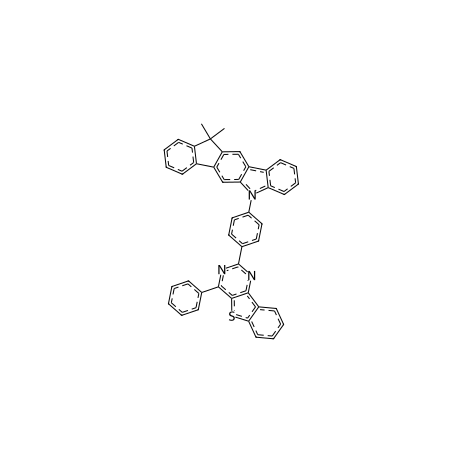 CC1(C)c2ccccc2-c2cc3c(cc21)c1ccccc1n3-c1ccc(-c2nc(-c3ccccc3)c3sc4ccccc4c3n2)cc1